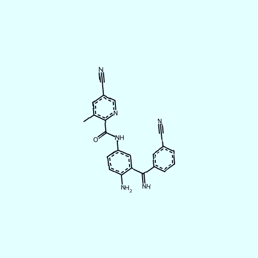 Cc1cc(C#N)cnc1C(=O)Nc1ccc(N)c(C(=N)c2cccc(C#N)c2)c1